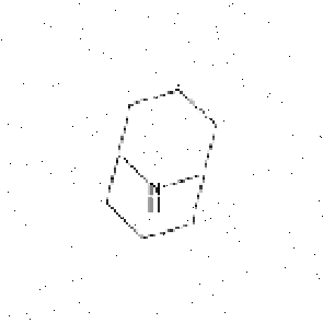 [CH]1CC2CCCC(C1)N2